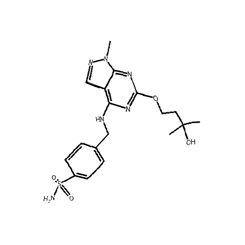 Cn1ncc2c(NCc3ccc(S(N)(=O)=O)cc3)nc(OCCC(C)(C)O)nc21